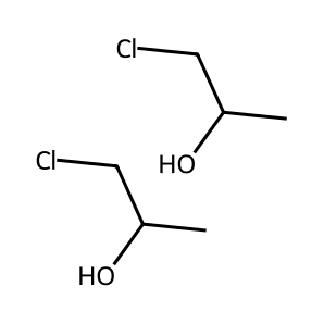 CC(O)CCl.CC(O)CCl